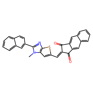 Cn1c(-c2ccc3ccccc3c2)nc2sc(C=C3C(=O)c4cc5ccccc5cc4C3=O)cc21